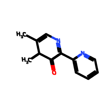 CC1=CN=C(c2ccccn2)C(=O)C1C